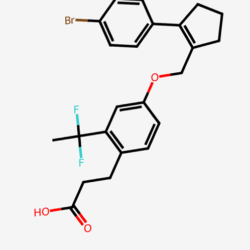 CC(F)(F)c1cc(OCC2=C(c3ccc(Br)cc3)CCC2)ccc1CCC(=O)O